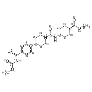 COC(=O)NC(=N)c1ccc(C2CCN(C(=O)N[C@H]3CC[C@H](C(=O)OC)CC3)CC2)cc1